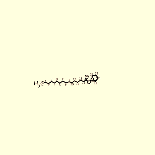 CCCCCCCCCCCCCCCC(=O)On1cccc1